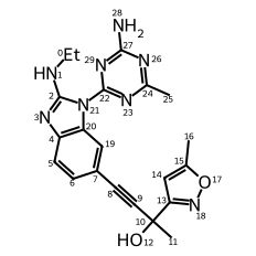 CCNc1nc2ccc(C#CC(C)(O)c3cc(C)on3)cc2n1-c1nc(C)nc(N)n1